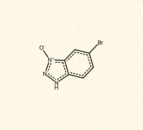 [O-][n+]1n[nH]c2ccc(Br)cc21